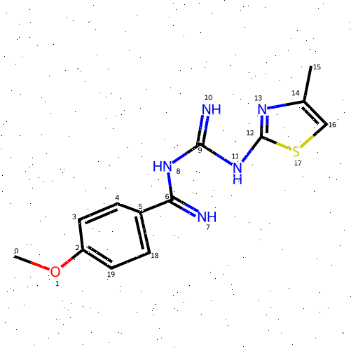 COc1ccc(C(=N)NC(=N)Nc2nc(C)cs2)cc1